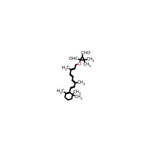 CC(C=CC1=C(C)CCCC1(C)C)=CC=CC(C)=CCOC1([C]=O)C([C]=O)C1(C)C